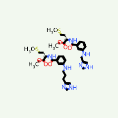 COC(=O)[C@H](CCSC)NC(=O)c1cccc(NCCCc2c[nH]cn2)c1.COC(=O)[C@H](CCSC)NC(=O)c1cccc(NCc2c[nH]cn2)c1